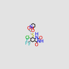 O=c1[nH]c(=O)c2cc(C(F)(F)F)c(Cl)c(SC[C@H](CO)Oc3ccccn3)c2[nH]1